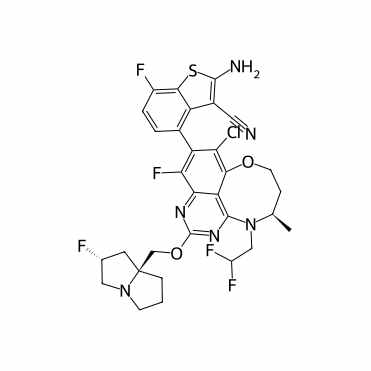 C[C@@H]1CCOc2c(Cl)c(-c3ccc(F)c4sc(N)c(C#N)c34)c(F)c3nc(OC[C@@]45CCCN4C[C@H](F)C5)nc(c23)N1CC(F)F